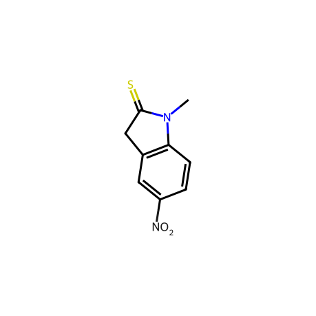 CN1C(=S)Cc2cc([N+](=O)[O-])ccc21